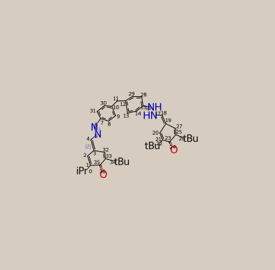 CC(C)C1=C/C(=C/N=N/c2ccc(Cc3ccc(NNC=C4C=C(C(C)(C)C)C(=O)C(C(C)(C)C)=C4)cc3)cc2)C=C(C(C)(C)C)C1=O